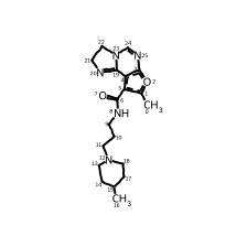 Cc1oc2c(c1C(=O)NCCCN1CCC(C)CC1)C1=NCCN1C=N2